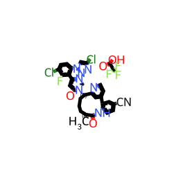 C[C@@H]1CCC[C@H](n2cnc(-c3c(-n4cc(Cl)nn4)ccc(Cl)c3F)cc2=O)c2cc(ccn2)-c2cc(C#N)ccc2NC1=O.O=C(O)C(F)(F)F